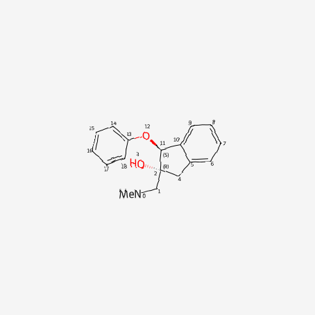 CNC[C@]1(O)Cc2ccccc2[C@@H]1Oc1ccccc1